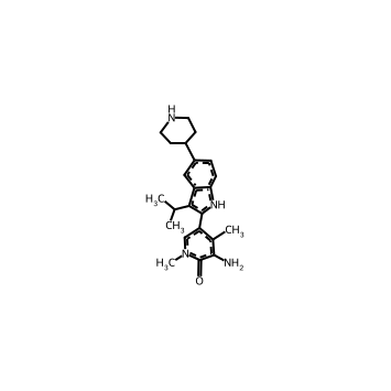 Cc1c(-c2[nH]c3ccc(C4CCNCC4)cc3c2C(C)C)cn(C)c(=O)c1N